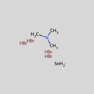 Br.Br.Br.Br.CN(C)C.[SnH2]